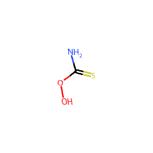 NC(=S)OO